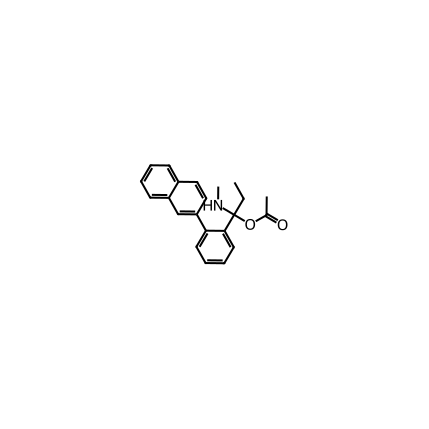 CCC(NC)(OC(C)=O)c1ccccc1-c1ccc2ccccc2c1